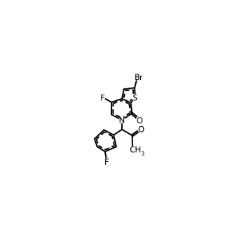 CC(=O)C(c1cccc(F)c1)n1cc(F)c2cc(Br)sc2c1=O